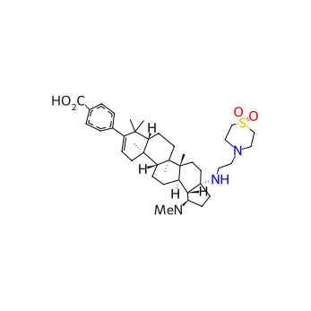 CN[C@@H]1CC[C@]2(NCCN3CCS(=O)(=O)CC3)CC[C@]3(C)[C@H](CC[C@@H]4[C@@]5(C)CC=C(c6ccc(C(=O)O)cc6)C(C)(C)[C@@H]5CC[C@]43C)[C@@H]12